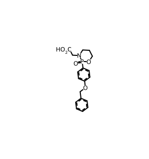 O=C(O)CN1CCCOP1(=O)c1ccc(OCc2ccccc2)cc1